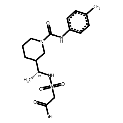 CC(C)C(=O)CS(=O)(=O)N[C@H](C)C1CCCN(C(=O)Nc2ccc(C(F)(F)F)cc2)C1